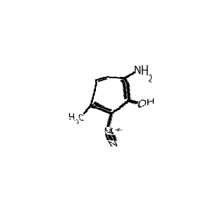 Cc1ccc(N)c(O)c1[N+]#N